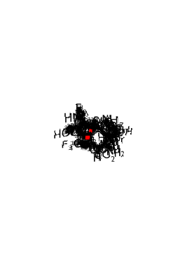 CC(=O)N[C@@H](C(=O)N[C@H](C)C(=O)N[C@H](Cc1c[nH]c2cc(F)ccc12)C(=O)N[C@H](Cc1ccc(O)cc1)C(=O)N[C@H](C)C(=O)NC1(C)CCCCCCCCC(C)(C(=O)N[C@H](CC(C)C)C(=O)N[C@H](CO)C(=O)N[C@H](C)C(=O)N[C@H](C)C(=O)N[C@H](C)C(N)=O)NC(=O)[C@@H](CCC(N)=O)NC(=O)[C@@H](CCC(=O)O)NC(=O)[C@@H](Cc2ccc(C(F)(F)F)cc2)NC1=O)[C@H](C)O